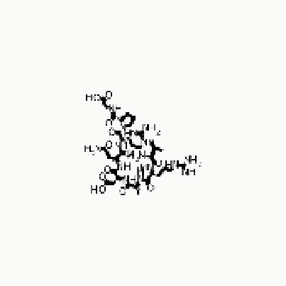 CC(C)[C@H](N)C(=O)N[C@@H](CCCNC(=N)N)C(=O)N[C@@H](C)C(=O)N[C@@H](CC(=O)O)C(=O)N[C@@H](CC(N)=O)C(=O)N[C@@H](CCCNC(=N)N)C(=O)N1CCC[C@H]1C(=O)NCC(=O)O